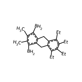 Bc1c(C)c(C)c(B)c2c1Cc1c(CC)c(CC)c(CC)c(CC)c1C2